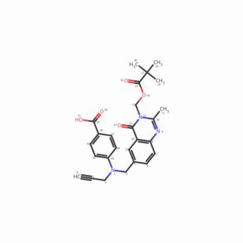 C#CCN(Cc1ccc2nc(C)n(COC(=O)C(C)(C)C)c(=O)c2c1)c1ccc(C(=O)O)cc1